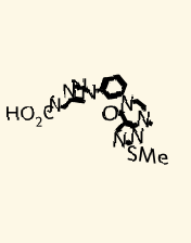 CSc1ncc2c(n1)N(C)CCN(c1cccc(-n3cc(CN(C)C(=O)O)nn3)c1)C2=O